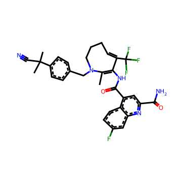 C/C1=C(NC(=O)c2cc(C(N)=O)nc3cc(F)ccc23)/C(C(F)(F)F)=C/CCCN1Cc1ccc(C(C)(C)C#N)cc1